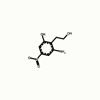 Nc1cc([N+](=O)[O-])cc(O)c1CCO